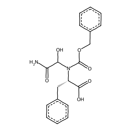 NC(=O)C(O)N(C(=O)OCc1ccccc1)[C@@H](Cc1ccccc1)C(=O)O